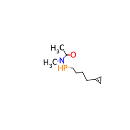 CC(=O)N(C)PCCCCC1=CC1